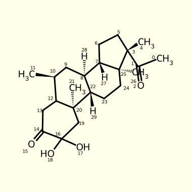 CC(=O)[C@@]1(C)CC[C@H]2[C@@H]3C[C@H](C)C4CC(=O)C(O)(O)C[C@]4(C)[C@H]3CC[C@@]21C